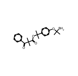 BC(C)(C)Oc1ccc(C(C)(C)OC(=O)C(C)(C)C(=O)c2ccccc2)cc1